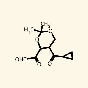 CC1(C)OCC(C(=O)C2CC2)C(C(=O)C=O)O1